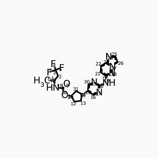 C[C@@H](CC(F)(F)F)NC(=O)O[C@@H]1CC[C@H](c2cnc(Nc3ccc4nccn4n3)nc2)C1